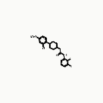 COc1ccc(C2CCC(CC(=O)Nc3cccc(F)c3F)CC2)c(Cl)c1